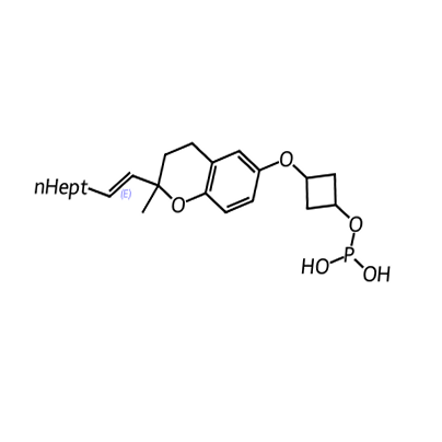 CCCCCCC/C=C/C1(C)CCc2cc(OC3CC(OP(O)O)C3)ccc2O1